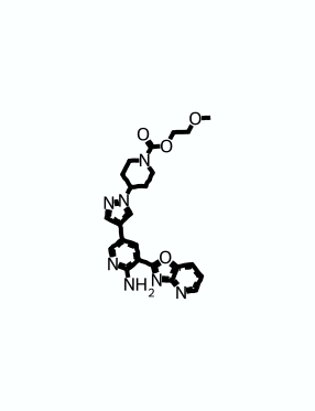 COCCOC(=O)N1CCC(n2cc(-c3cnc(N)c(-c4nc5ncccc5o4)c3)cn2)CC1